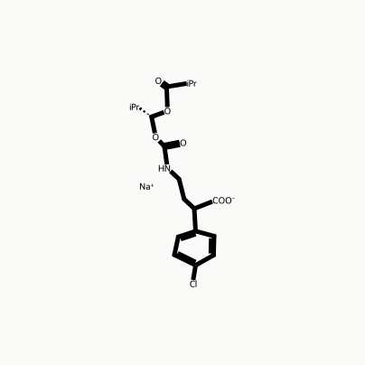 CC(C)C(=O)O[C@H](OC(=O)NCCC(C(=O)[O-])c1ccc(Cl)cc1)C(C)C.[Na+]